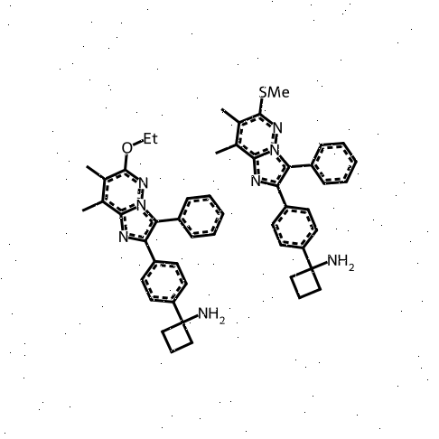 CCOc1nn2c(-c3ccccc3)c(-c3ccc(C4(N)CCC4)cc3)nc2c(C)c1C.CSc1nn2c(-c3ccccc3)c(-c3ccc(C4(N)CCC4)cc3)nc2c(C)c1C